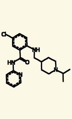 CC(C)N1CCC(CNc2ccc(Cl)cc2C(=O)Nc2ccccn2)CC1